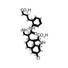 NCC(C(=O)Nc1ccccc1CCCC(=O)O)C1CCc2cc(Cl)cc3[nH]c(C(=O)O)c1c23